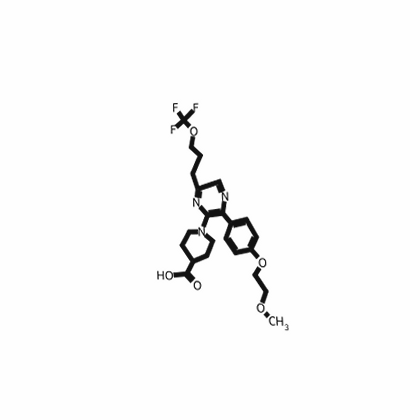 COCCOc1ccc(-c2ncc(CCCOC(F)(F)F)nc2N2CCC(C(=O)O)CC2)cc1